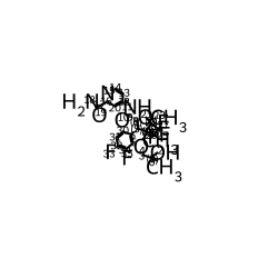 C[C@H](O)COc1c([C@H]2[C@H](C(=O)Nc3ccnc(C(N)=O)c3)O[C@@](C)(C(F)(F)F)[C@H]2C)ccc(F)c1F